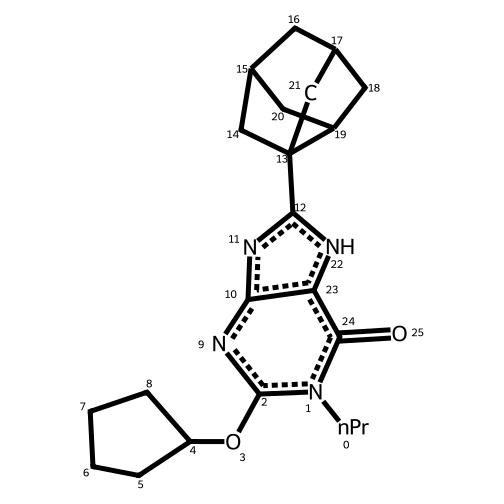 CCCn1c(OC2CCCC2)nc2nc(C34CC5CC(CC3C5)C4)[nH]c2c1=O